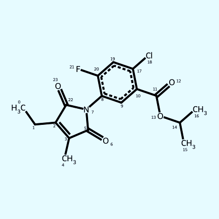 CCC1=C(C)C(=O)N(c2cc(C(=O)OC(C)C)c(Cl)cc2F)C1=O